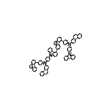 c1ccc2c(c1)ccc1cc(N(c3ccc(-c4cccc5oc6cc(-c7cccc8c7c7ccccc7n8-c7ccc(N(c8ccc(-c9cccc%10oc%11ccccc%11c9%10)cc8)c8ccc9ccc%10ccccc%10c9c8)cc7)ccc6c45)cc3)c3ccc(-n4c5ccccc5c5ccccc54)cc3)ccc12